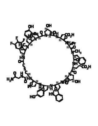 CCCC[C@H]1C(=O)N2C[C@H](O)C[C@@H]2C(=O)N[C@@H](CC(=O)O)C(=O)N[C@@H](C(C)C)C(=O)N(C)[C@@H](Cc2ccccc2)C(=O)N[C@@H](CCC(=O)O)C(=O)N2C[C@H](O)C[C@@H]2C(=O)N[C@@H](Cc2c[nH]c3ccccc23)C(=O)N[C@@H](Cc2ccc(O)cc2)C(=O)N[C@@H](CC(C)C)C(=O)N[C@H](C(=O)NCC(N)=O)CSCC(=O)N[C@@H](Cc2cc(F)c(F)c(F)c2)C(=O)N(C)[C@@H](Cc2ccc(O)cc2)C(=O)N1C